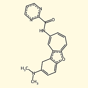 CN(C)C1=CC=c2oc3c(c2C1)C=C(NC(=O)c1ncccn1)C=CC=3